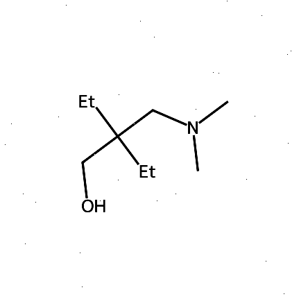 CCC(CC)(CO)CN(C)C